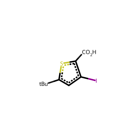 CC(C)(C)c1cc(I)c(C(=O)O)s1